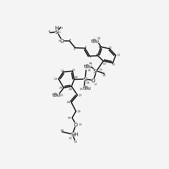 C[SiH](C)OCCC=Cc1c(C(C)(C)C)cccc1[Si](C)(O[Si](C)(c1cccc(C(C)(C)C)c1C=CCCO[SiH](C)C)C(C)(C)C)C(C)(C)C